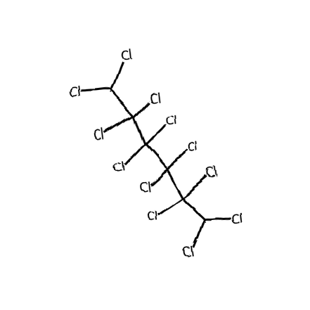 Cl[C](Cl)C(Cl)(Cl)C(Cl)(Cl)C(Cl)(Cl)C(Cl)(Cl)[C](Cl)Cl